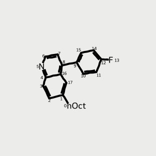 CCCCCCCCc1ccc2nccc(-c3ccc(F)cc3)c2c1